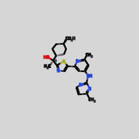 Cc1cc(Nc2nccc(C)n2)cc(-c2cnc([C@@](C)(O)[C@H]3CC[C@H](C(=O)O)CC3)s2)n1